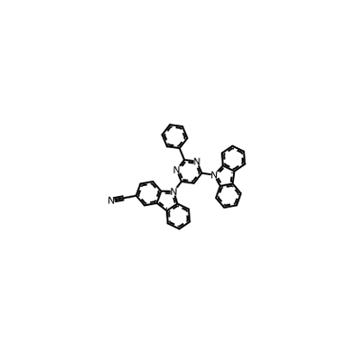 N#Cc1ccc2c(c1)c1ccccc1n2-c1cc(-n2c3ccccc3c3ccccc32)nc(-c2ccccc2)n1